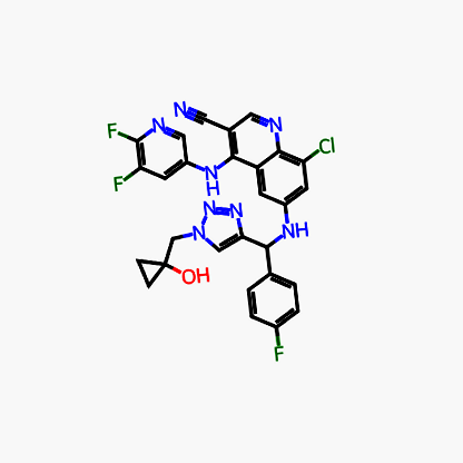 N#Cc1cnc2c(Cl)cc(NC(c3ccc(F)cc3)c3cn(CC4(O)CC4)nn3)cc2c1Nc1cnc(F)c(F)c1